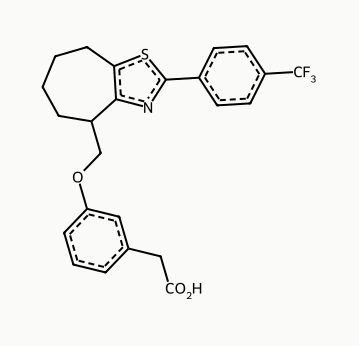 O=C(O)Cc1cccc(OCC2CCCCc3sc(-c4ccc(C(F)(F)F)cc4)nc32)c1